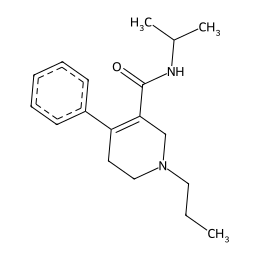 CCCN1CCC(c2ccccc2)=C(C(=O)NC(C)C)C1